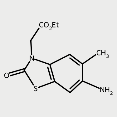 CCOC(=O)Cn1c(=O)sc2cc(N)c(C)cc21